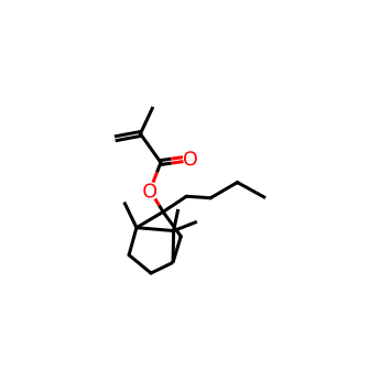 C=C(C)C(=O)OC1(CCCC)CC2CCC1(C)C2(C)C